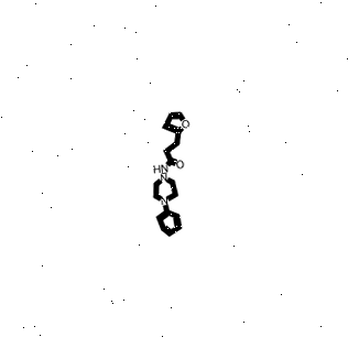 O=C(CCc1ccco1)NN1CCN(c2ccccc2)CC1